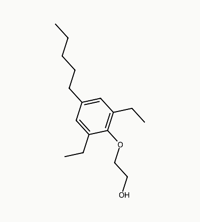 CCCCCc1cc(CC)c(OCCO)c(CC)c1